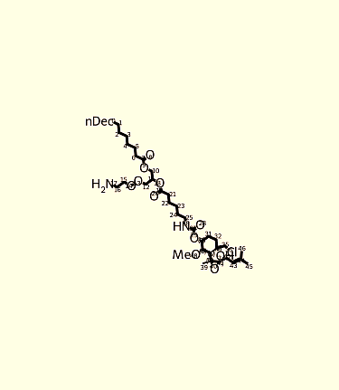 CCCCCCCCCCCCCCCCC(=O)OCC(COOCCN)OC(=O)CCCCCNC(=O)O[C@@H]1CC[C@](O)(CCl)[C@@H]([C@@]2(C)O[C@@H]2CC=C(C)C)[C@@H]1OC